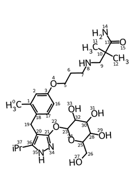 Cc1cc(OCCCNCC(C)(C)C(N)=O)ccc1Cc1c(OC2OC(CO)C(O)C(O)C2O)n[nH]c1C(C)C